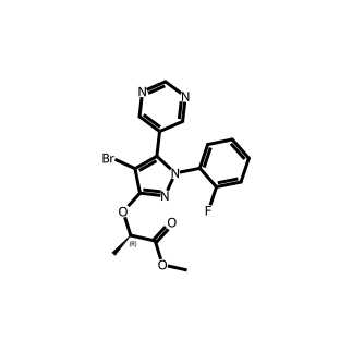 COC(=O)[C@@H](C)Oc1nn(-c2ccccc2F)c(-c2cncnc2)c1Br